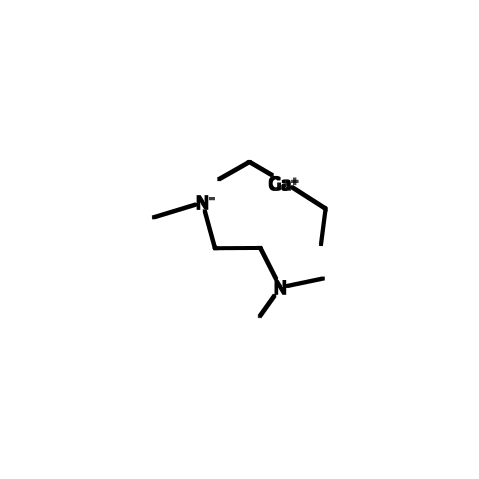 C[CH2][Ga+][CH2]C.C[N-]CCN(C)C